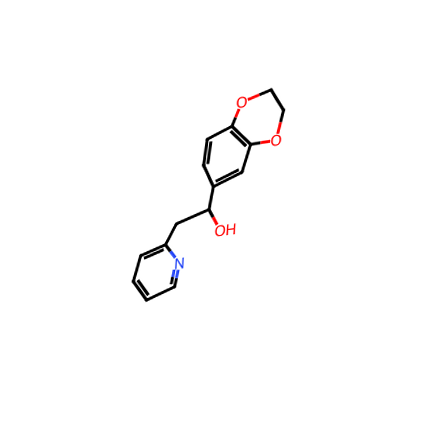 OC(Cc1ccccn1)c1ccc2c(c1)OCCO2